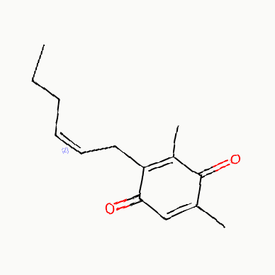 CCC/C=C\CC1=C(C)C(=O)C(C)=CC1=O